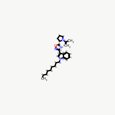 C=C(C)N1CCC[C@H]1c1nc(-c2cn(CCCCCCCCC)c3ccccc23)no1